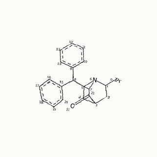 CC(C)C1CC2CCN1C(C(c1ccccc1)c1ccccc1)C2=O